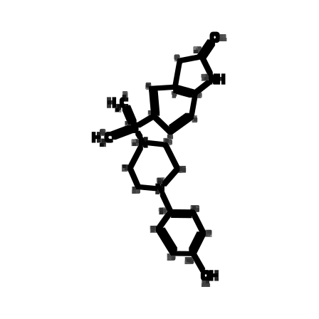 C=S(=C)(c1ccc2c(c1)CC(=O)N2)N1CCN(c2ccc(O)cc2)CC1